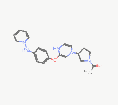 CC(=O)N1CCC(N2C=CNC(Oc3ccc(NN4C=CC=CC4)cc3)=C2)C1